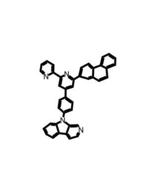 c1ccc(-c2cc(-c3ccc(-n4c5ccccc5c5ccncc54)cc3)cc(-c3ccc4c(ccc5ccccc54)c3)n2)nc1